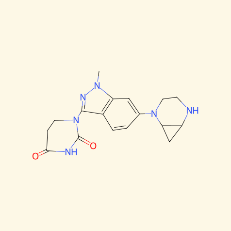 Cn1nc(N2CCC(=O)NC2=O)c2ccc(N3CCNC4CC43)cc21